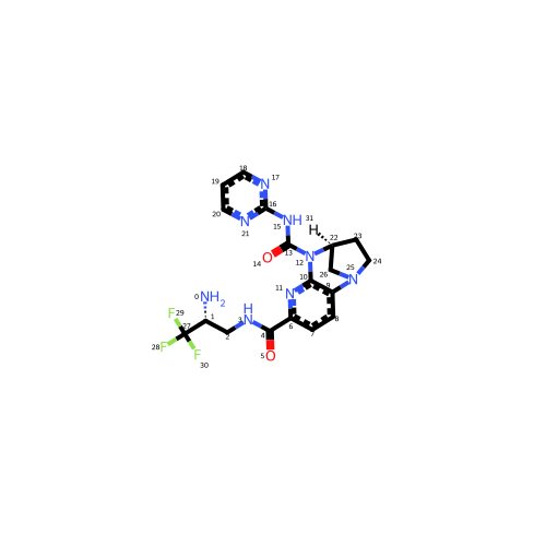 N[C@H](CNC(=O)c1ccc2c(n1)N(C(=O)Nc1ncccn1)[C@H]1CCN2C1)C(F)(F)F